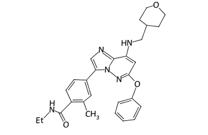 CCNC(=O)c1ccc(-c2cnc3c(NCC4CCOCC4)cc(Oc4ccccc4)nn23)cc1C